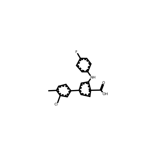 Cc1ccc(-c2ccc(C(=O)O)c(Nc3ccc(F)cc3)c2)cc1Cl